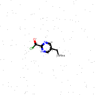 CCCCCCCc1cnc(C(=O)Cl)nc1